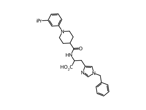 CC(C)c1cccc(N2CCC(C(=O)NC(Cc3cn(Cc4ccccc4)cn3)C(=O)O)CC2)c1